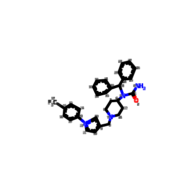 NC(=O)N(C1CCN(Cc2ccn(-c3ccc(C(F)(F)F)cc3)c2)CC1)C(c1ccccc1)c1ccccc1